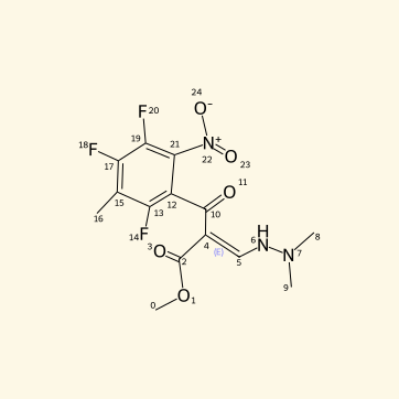 COC(=O)/C(=C/NN(C)C)C(=O)c1c(F)c(C)c(F)c(F)c1[N+](=O)[O-]